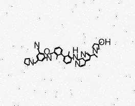 Cc1c(Nc2nccc3cc(C(C)N4CC[C@@H](O)C4)cnc23)cccc1-c1cccc(-c2nc3cc(CN4CCCC4)cc(C#N)c3o2)c1C